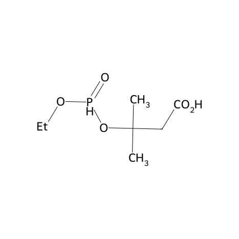 CCO[PH](=O)OC(C)(C)CC(=O)O